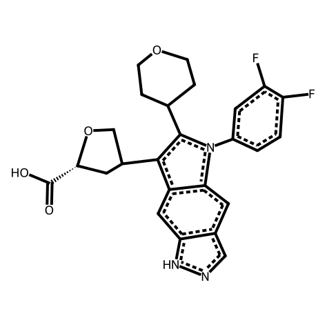 O=C(O)[C@H]1CC(c2c(C3CCOCC3)n(-c3ccc(F)c(F)c3)c3cc4cn[nH]c4cc23)CO1